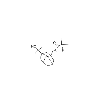 CC(F)(F)C(=O)OCC12CC3CC(C1)CC(C(C)(C)O)(C3)C2